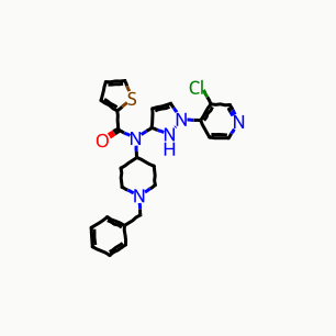 O=C(c1cccs1)N(C1CCN(Cc2ccccc2)CC1)C1C=CN(c2ccncc2Cl)N1